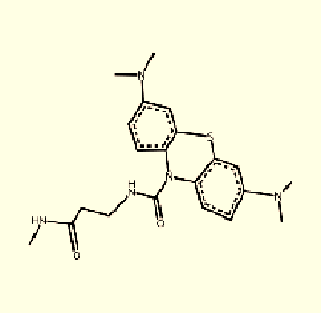 CNC(=O)CCNC(=O)N1c2ccc(N(C)C)cc2Sc2cc(N(C)C)ccc21